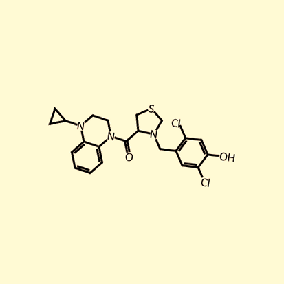 O=C(C1CSCN1Cc1cc(Cl)c(O)cc1Cl)N1CCN(C2CC2)c2ccccc21